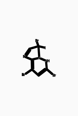 BrC1=CC(Br)=C2N=CC(Br)(I)N2N1